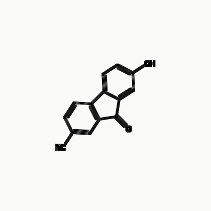 N#Cc1ccc2c(c1)C(=O)c1cc(O)ccc1-2